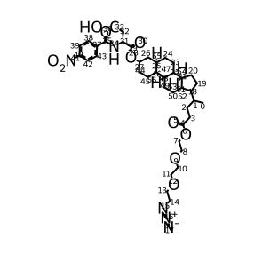 CC(CCC(=O)OCCOCCOCCN=[N+]=[N-])C1CC[C@H]2[C@@H]3CC[C@@H]4C[C@H](OC(=O)[C@H](CC(=O)O)NC(=O)c5ccc([N+](=O)[O-])cc5)CC[C@]4(C)[C@H]3CC[C@]12C